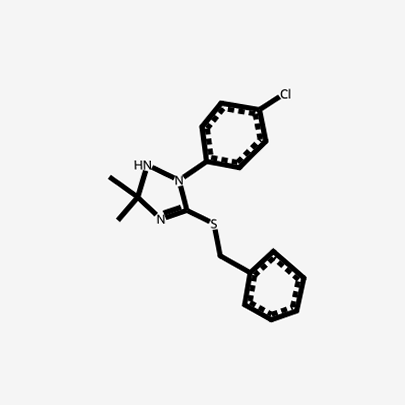 CC1(C)N=C(SCc2ccccc2)N(c2ccc(Cl)cc2)N1